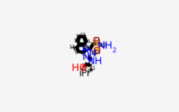 CC(C)C[C@H](CO)Nc1nc(C[C@H](C)c2ccccc2)nc(CS(N)(=O)=O)n1